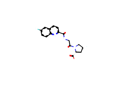 O=C(NCC(=O)N1C[C@H](F)C[C@H]1C(=O)O)c1ccc2cc(F)ccc2n1